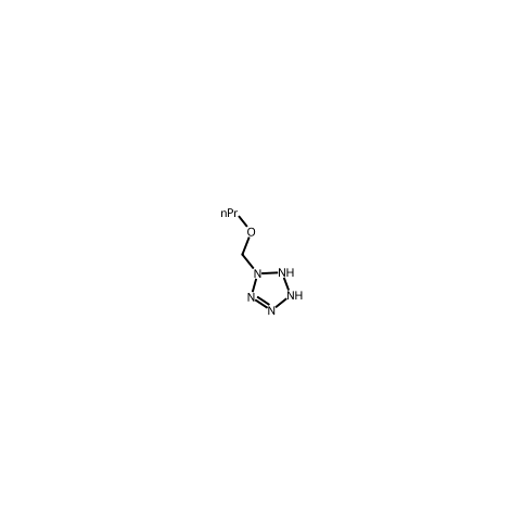 CCCOCN1N=NNN1